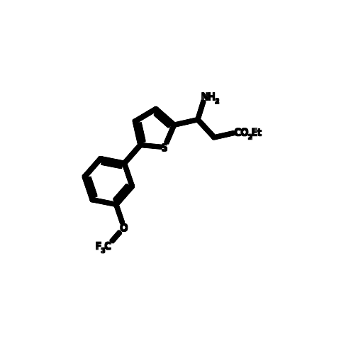 CCOC(=O)CC(N)c1ccc(-c2cccc(OC(F)(F)F)c2)s1